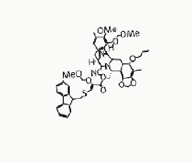 C=CCOC1C(C)=C2OCOC2=C2C1CC1[C@@H]3c4c(cc(C)c(OC)c4OCOC)C[C@H]([C@H](C#N)N1[C@H]2COC(=O)/C(=C/SCC1c2ccccc2-c2ccccc21)OCOC)N3C